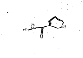 CCCNC(=O)C1=CC=CNC1